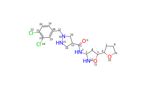 O=C(NC1CC(C2CCCO2)ON1)C1CNN(Cc2ccc(Cl)c(Cl)c2)C1